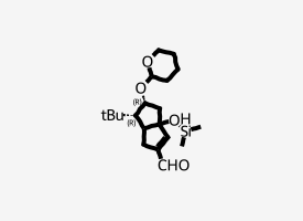 C[SiH](C)OC12C=C(C=O)CC1[C@H](C(C)(C)C)[C@H](OC1CCCCO1)C2